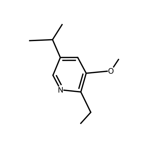 CCc1ncc(C(C)C)cc1OC